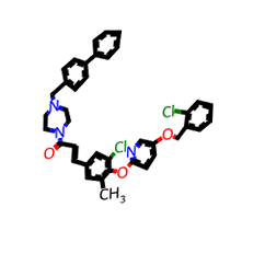 Cc1cc(C=CC(=O)N2CCN(Cc3ccc(-c4ccccc4)cc3)CC2)cc(Cl)c1Oc1ccc(OCc2ccccc2Cl)cn1